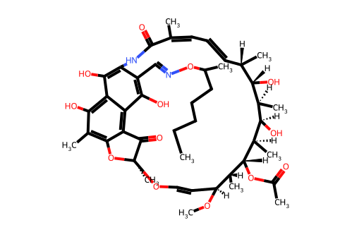 CCCCCC(C)O/N=C/c1c2c(O)c3c(O)c(C)c4c(c3c1O)C(=O)[C@@](C)(O/C=C/[C@H](OC)[C@@H](C)[C@@H](OC(C)=O)[C@H](C)[C@H](O)[C@H](C)[C@@H](O)[C@@H](C)/C=C/C=C(/C)C(=O)N2)O4